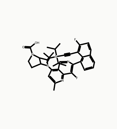 Cc1cc(N2C(C)C3C2CCN3C(=O)O)c2cnc(-c3cccc4ccc(F)c(C#C[Si](C(C)C)(C(C)C)C(C)C)c34)c(F)c2n1